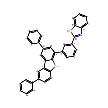 c1ccc(-c2ccc3sc4c(-c5cccc(-c6nc7ccccc7o6)c5)cc(-c5ccccc5)cc4c3c2)cc1